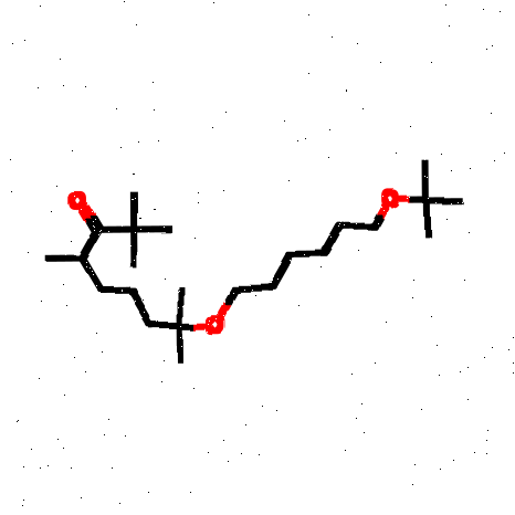 CC(CCCC(C)(C)OCCCCCCOC(C)(C)C)C(=O)C(C)(C)C